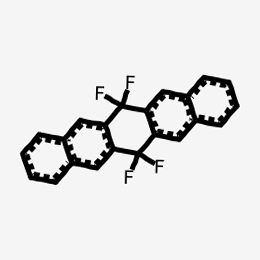 FC1(F)c2cc3ccccc3cc2C(F)(F)c2cc3ccccc3cc21